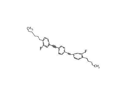 CCCCCCc1ccc(C#Cc2ccc(C#Cc3ccc(CCCCC)c(F)c3)cc2)cc1F